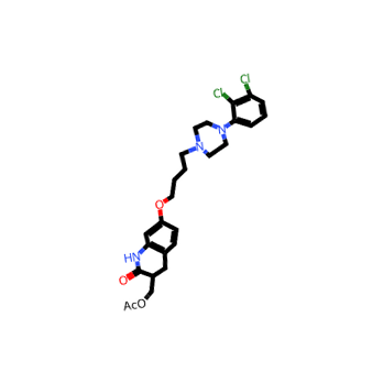 CC(=O)OCC1Cc2ccc(OCCCCN3CCN(c4cccc(Cl)c4Cl)CC3)cc2NC1=O